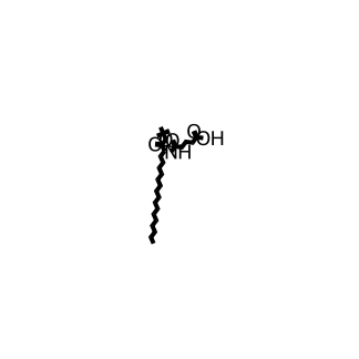 CCCCCCCCCCCCCCCCC(NC(=O)CCCC(=O)O)C(=O)OC(C)(C)C